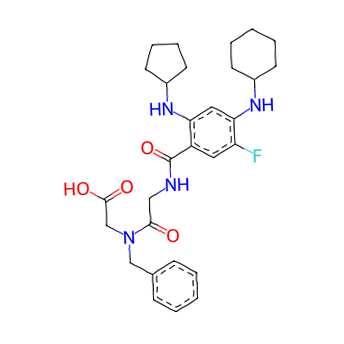 O=C(O)CN(Cc1ccccc1)C(=O)CNC(=O)c1cc(F)c(NC2CCCCC2)cc1NC1CCCC1